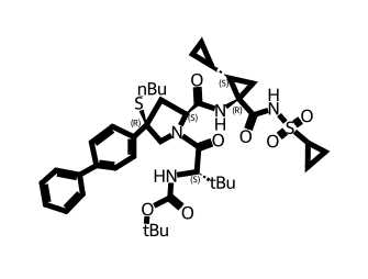 CCCCS[C@@]1(c2ccc(-c3ccccc3)cc2)C[C@@H](C(=O)N[C@]2(C(=O)NS(=O)(=O)C3CC3)C[C@H]2C2CC2)N(C(=O)[C@@H](NC(=O)OC(C)(C)C)C(C)(C)C)C1